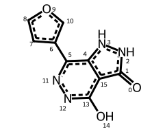 O=c1[nH][nH]c2c(-c3ccoc3)nnc(O)c12